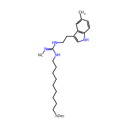 CCCCCCCCCCCCCCCCCCCN/C(=N\C#N)NCCc1c[nH]c2ccc(C)cc12